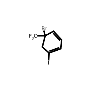 FC(F)(F)C1(Br)C=CC=C(I)C1